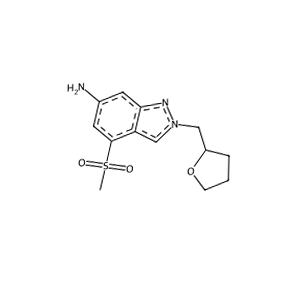 CS(=O)(=O)c1cc(N)cc2nn(CC3CCCO3)cc12